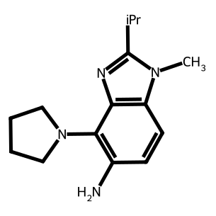 CC(C)c1nc2c(N3CCCC3)c(N)ccc2n1C